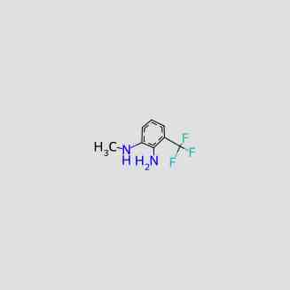 CNc1cccc(C(F)(F)F)c1N